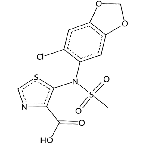 CS(=O)(=O)N(c1cc2c(cc1Cl)OCO2)c1scnc1C(=O)O